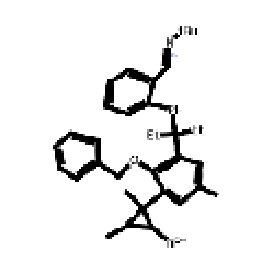 CCCC1C(C)C1(C)c1cc(C)cc(C(CC)(CC)Pc2ccccc2/C=N/C(C)(C)C)c1OCc1ccccc1